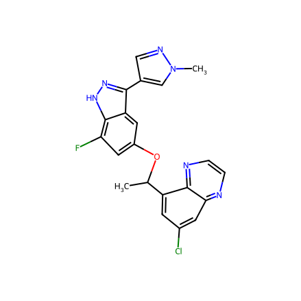 CC(Oc1cc(F)c2[nH]nc(-c3cnn(C)c3)c2c1)c1cc(Cl)cc2nccnc12